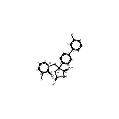 Cc1cccc(-c2ccc(C3(Cn4cccc(C)c4=O)NC(=O)NC3=O)cc2)c1